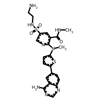 CNC(=O)c1cc(S(=O)(=O)NCCN)cnc1N(C)c1ccc(-c2ccc3ncnc(N)c3c2)s1